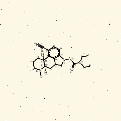 CCN(CC)C(=O)NN1CC2C[C@@H]3[C@H](CCCN3C)c3c(C#N)ccc1c32